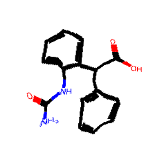 NC(=O)Nc1ccccc1C(C(=O)O)c1ccccc1